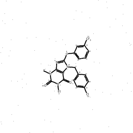 CCn1c(=O)c2c(nc(Oc3cccc(C(F)(F)F)c3)n2Cc2ccc(Cl)cc2)n(C)c1=O